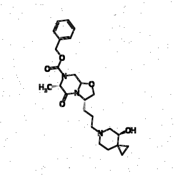 C[C@H]1C(=O)N2C(CN1C(=O)OCc1ccccc1)OC[C@@H]2CCCN1CCC2(CC2)[C@H](O)C1